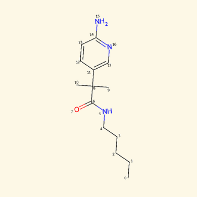 CCCCCNC(=O)C(C)(C)c1ccc(N)nc1